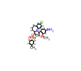 COc1cc(N)ccc1C(=O)N1c2ccc(Cl)cc2CCCC1C(C)OS(=O)(=O)c1ccc(C)cc1